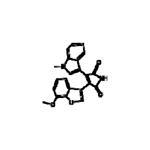 COc1cccc2c(C3=C(c4cn(C)c5ccccc45)C(=O)NC3=O)coc12